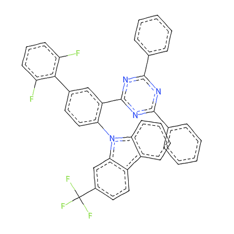 Fc1cccc(F)c1-c1ccc(-n2c3ccccc3c3ccc(C(F)(F)F)cc32)c(-c2nc(-c3ccccc3)nc(-c3ccccc3)n2)c1